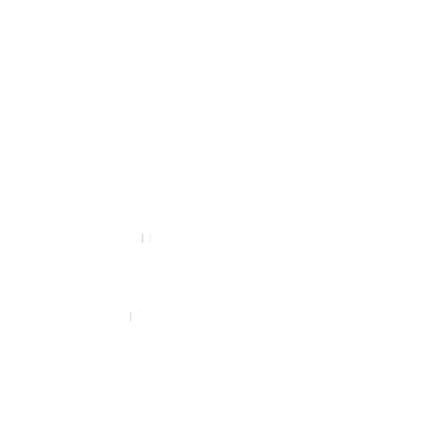 CCc1ccc(CC(O)C(=O)O)cc1CC